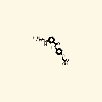 NN=CNc1cccc(C(=O)Nc2ccc(OCC(=O)O)cc2)c1